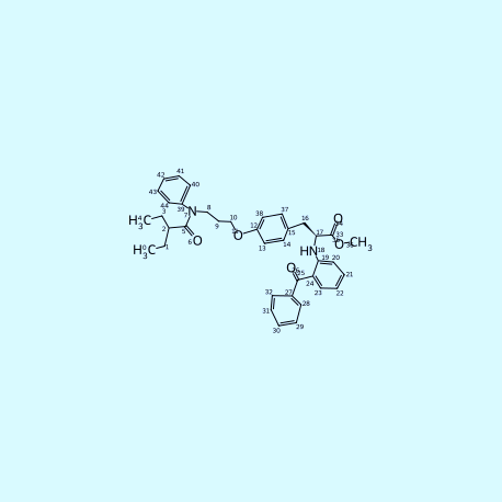 CCC(CC)C(=O)N(CCCOc1ccc(C[C@H](Nc2ccccc2C(=O)c2ccccc2)C(=O)OC)cc1)c1ccccc1